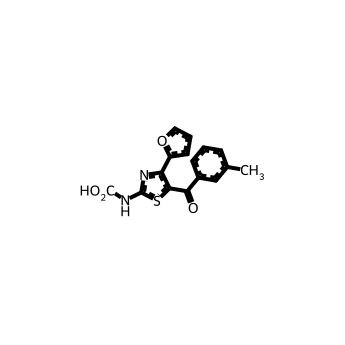 Cc1cccc(C(=O)c2sc(NC(=O)O)nc2-c2ccco2)c1